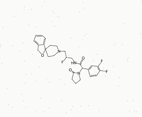 O=C(NCC(F)CN1CCC2(CC1)OCc1ccccc12)C(c1ccc(F)c(F)c1)N1CCCC1=O